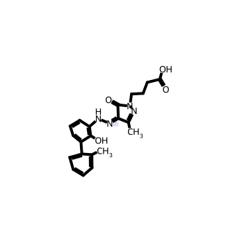 CC1=NN(CCCC(=O)O)C(=O)/C1=N\Nc1cccc(-c2ccccc2C)c1O